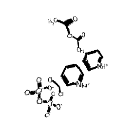 CC(=O)OC(C)=O.ClCCl.[O]=[Cr](=[O])([O-])[O][Cr](=[O])(=[O])[O-].c1cc[nH+]cc1.c1cc[nH+]cc1